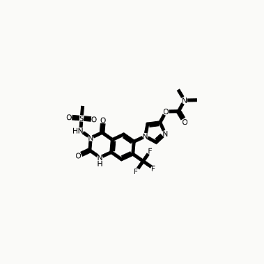 CN(C)C(=O)Oc1cn(-c2cc3c(=O)n(NS(C)(=O)=O)c(=O)[nH]c3cc2C(F)(F)F)cn1